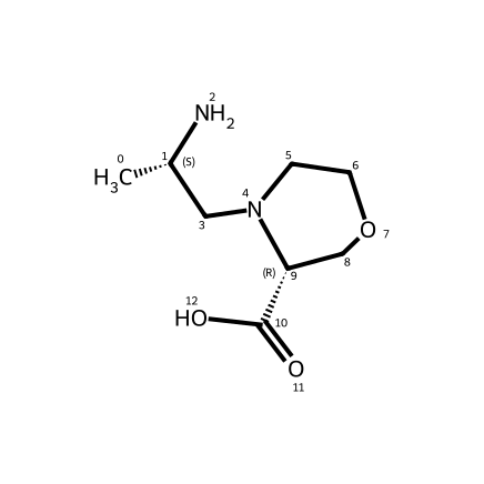 C[C@H](N)CN1CCOC[C@@H]1C(=O)O